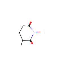 CC1CCC(=O)N(O)C1=O